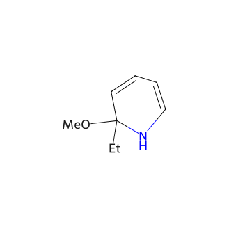 [CH2]CC1(OC)C=CC=CN1